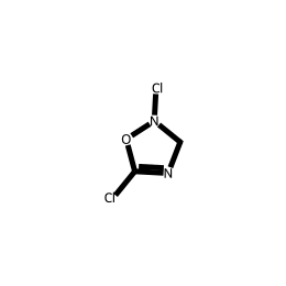 ClC1=NCN(Cl)O1